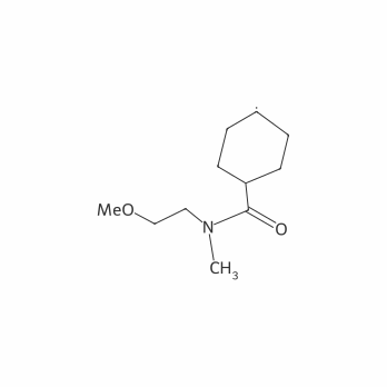 COCCN(C)C(=O)C1CC[CH]CC1